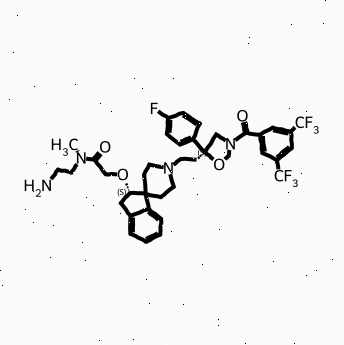 CN(CCN)C(=O)CO[C@H]1Cc2ccccc2C12CCN(CC[C@]1(c3ccc(F)cc3)CN(C(=O)c3cc(C(F)(F)F)cc(C(F)(F)F)c3)CO1)CC2